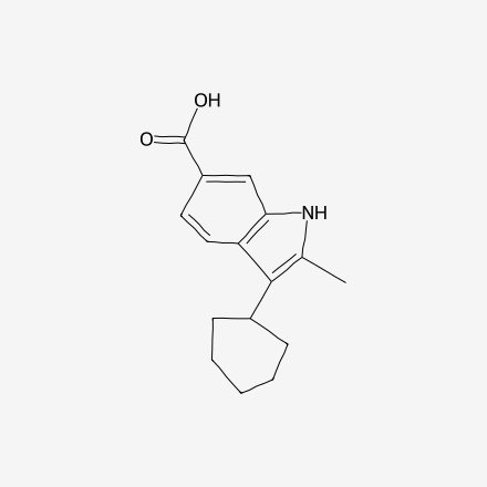 Cc1[nH]c2cc(C(=O)O)ccc2c1C1CCCCC1